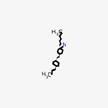 CCCCCCC[C@]1(C#N)CC[C@H](CC[C@H]2CC[C@H](CCCC)CC2)CC1